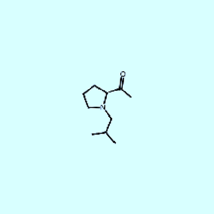 CC(=O)[C@@H]1CCCN1CC(C)C